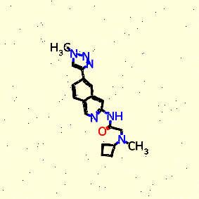 CN(CC(=O)Nc1cc2cc(-c3cn(C)nn3)ccc2cn1)C1CCC1